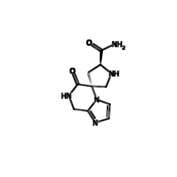 NC(=O)[C@@H]1C[C@@]2(CN1)C(=O)NCc1nccn12